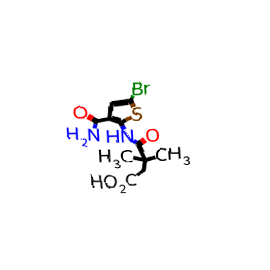 CC(C)(CC(=O)O)C(=O)Nc1sc(Br)cc1C(N)=O